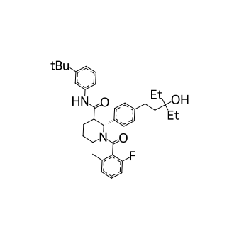 CCC(O)(CC)CCc1ccc([C@H]2C(C(=O)Nc3cccc(C(C)(C)C)c3)CCCN2C(=O)c2c(C)cccc2F)cc1